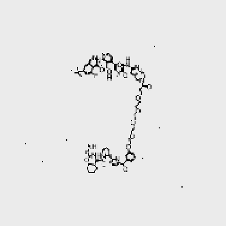 CN[C@@H](C)C(=O)N[C@H](C(=O)N1CCC[C@H]1c1nc(C(=O)c2cccc(OCCOCCOCCOCCOCCC(=O)N3CCn4nc(Nc5cc(-c6ccnc(-n7ncc8cc(C(C)(C)C)cc(F)c8c7=O)c6CO)cn(C)c5=O)cc4C3)c2)cs1)C1CCCCC1